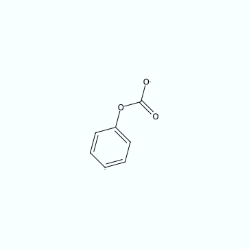 [O]C(=O)Oc1cc[c]cc1